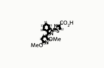 COc1ccc(-c2nn(-c3nc(C(=O)O)cs3)c3ccccc23)c(OC)n1